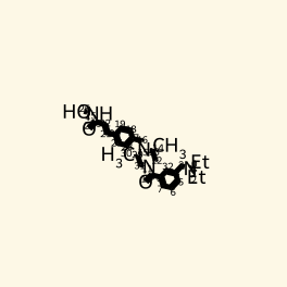 CCN(CC)Cc1cccc(C(=O)N2C[C@@H](C)N(Cc3ccc(C=CC(=O)NO)cc3)[C@@H](C)C2)c1